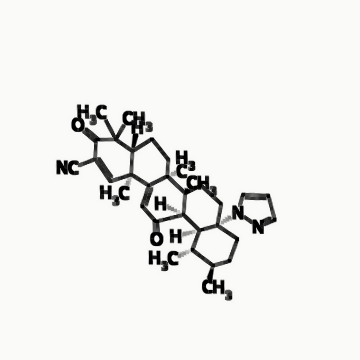 C[C@@H]1[C@H]2[C@H]3C(=O)C=C4[C@@]5(C)C=C(C#N)C(=O)C(C)(C)[C@@H]5CC[C@@]4(C)[C@]3(C)CC[C@@]2(n2cccn2)CC[C@H]1C